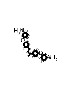 CC(CCc1ccc(Oc2cccc(N)c2)cc1)c1ccc(Oc2cccc(N)c2)cc1